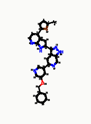 CC(=O)c1ccc(-c2ccnc3[nH]c(-c4n[nH]c5cnc(-c6cncc(OCc7ccccc7)c6)cc45)cc23)s1